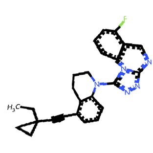 CCC1(C#Cc2cccc3c2CCCN3c2nnc3ncc4c(F)cccc4n23)CC1